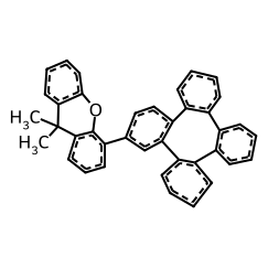 CC1(C)c2ccccc2Oc2c(-c3ccc4c(c3)-c3ccccc3-c3ccccc3-c3ccccc3-4)cccc21